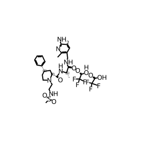 Cc1nc(N)ccc1CNC(=O)[C@H](C)NC(=O)[C@H]1C[C@@H](c2ccccc2)CCN1CCNS(C)(=O)=O.O=C(O)C(F)(F)F.O=C(O)C(F)(F)F